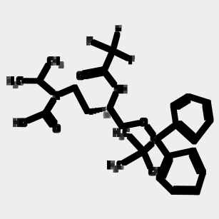 CC(C)N(CC[C@@H](CO[Si](c1ccccc1)(c1ccccc1)C(C)(C)C)NC(=O)C(F)(F)F)C(=O)O